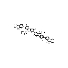 Cc1cc2c(cc1-c1ccc3c(c1)C(C)(C)c1ccccc1-3)C(C)(C(F)(F)F)c1cc(-c3cc4c(cc3C)-c3cc(C)c(-c5ccc6c(c5)C(C)(C)c5ccccc5-6)cc3C4(C)C(F)(F)F)c(C)cc1-2